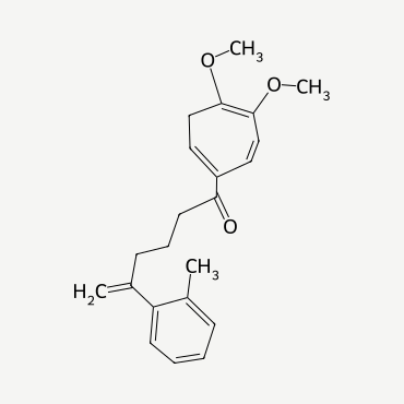 C=C(CCCC(=O)C1=CCC(OC)=C(OC)C=C1)c1ccccc1C